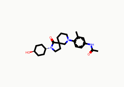 CC(=O)Nc1ccc(N2CCCC3(CCN([C@H]4CC[C@H](O)CC4)C3=O)C2)c(C)c1